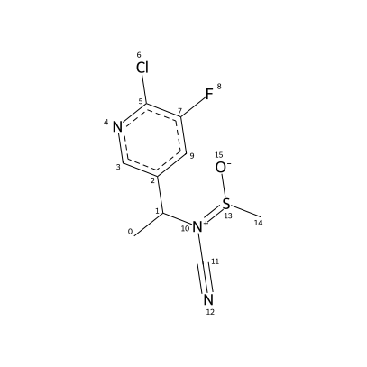 CC(c1cnc(Cl)c(F)c1)[N+](C#N)=S(C)[O-]